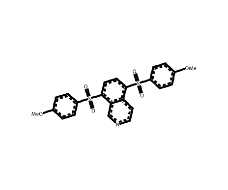 COc1ccc(S(=O)(=O)c2ccc(S(=O)(=O)c3ccc(OC)cc3)c3cnccc23)cc1